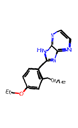 CCOc1ccc(-c2nc3nccnc3[nH]2)c(OC)c1